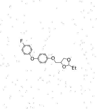 CCC1OCC(COc2ccc(Oc3ccc(F)cc3)cc2)O1